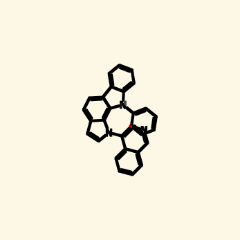 c1ccc(-n2c3ccccc3c3ccc4ccn(-c5cncc6ccccc56)c4c32)cc1